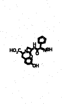 O=C(NC1CN(C(Cc2ccc(O)cc2)C(=O)O)C1=O)/C(=N/O)c1ccccc1